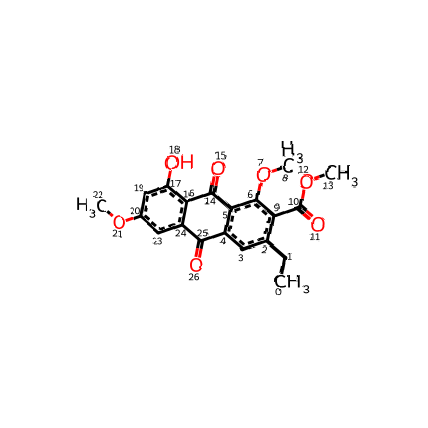 CCc1cc2c(c(OC)c1C(=O)OC)C(=O)c1c(O)cc(OC)cc1C2=O